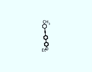 CCOc1ccc(-c2ccc(C#CC3CCC(C)CC3)cc2)cc1